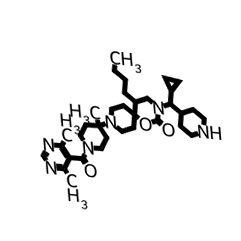 CCCCC1CN(C(C2CCNCC2)C2CC2)C(=O)OC12CCN(C1(C)CCN(C(=O)c3c(C)ncnc3C)CC1)CC2